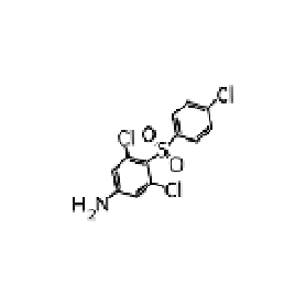 Nc1cc(Cl)c(S(=O)(=O)c2ccc(Cl)cc2)c(Cl)c1